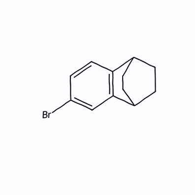 Brc1ccc2c(c1)C1CCC2CC1